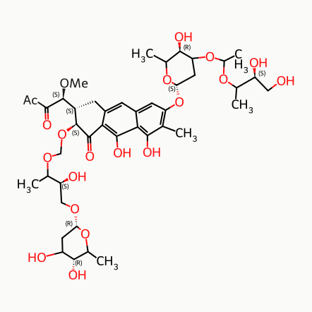 CO[C@H](C(=O)C(C)=O)[C@@H]1Cc2cc3cc(O[C@H]4CC(OC(C)OC(C)[C@@H](O)CO)[C@H](O)C(C)O4)c(C)c(O)c3c(O)c2C(=O)[C@H]1OCOC(C)[C@@H](O)CO[C@H]1CC(O)[C@@H](O)C(C)O1